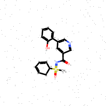 CS(=O)(=NC(=O)c1cncc(-c2ccccc2O)c1)C1C=CC=CC1